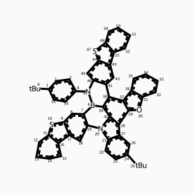 CC(C)(C)c1ccc(N2B3c4cc5sc6ccccc6c5cc4-n4c5ccc(C(C)(C)C)cc5c5c6oc7ccccc7c6c(c3c54)-c3cc4c(cc32)sc2ccccc24)cc1